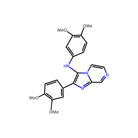 COc1ccc(Nc2c(-c3ccc(OC)c(OC)c3)nc3cnccn23)cc1OC